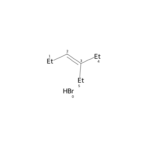 Br.CCC=C(CC)CC